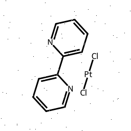 [Cl][Pt][Cl].c1ccc(-c2ccccn2)nc1